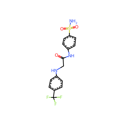 NS(=O)(=O)c1ccc(NC(=O)CNc2ccc(C(F)(F)F)cc2)cc1